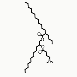 CCCCCCCCCCCCC(CCCC)C(=O)OCC(CCCCCCCCCC)OC(=O)CCCN(C)C